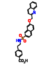 O=C(O)c1ccc(CCNS(=O)(=O)c2ccc3ccc(OCc4ccc5ccccc5n4)cc3c2)cc1